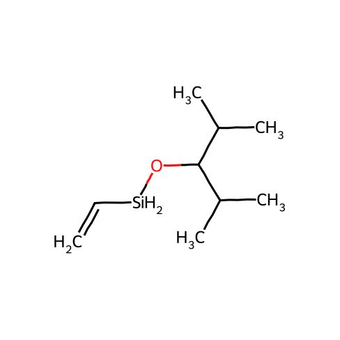 C=C[SiH2]OC(C(C)C)C(C)C